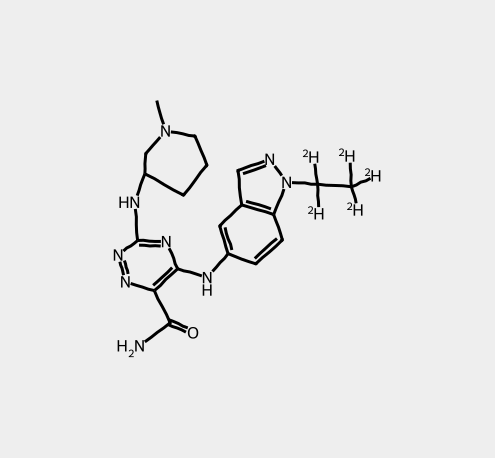 [2H]C([2H])([2H])C([2H])([2H])n1ncc2cc(Nc3nc(NC4CCCN(C)C4)nnc3C(N)=O)ccc21